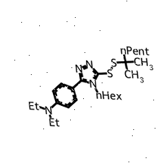 CCCCCCn1c(SSC(C)(C)CCCCC)nnc1-c1ccc(N(CC)CC)cc1